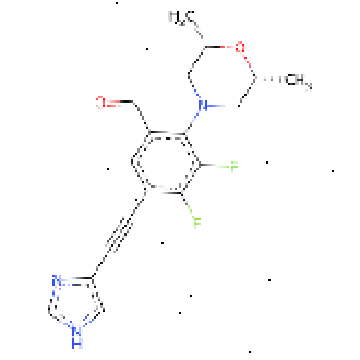 C[C@@H]1CN(c2c(C=O)cc(C#Cc3c[nH]cn3)c(F)c2F)C[C@H](C)O1